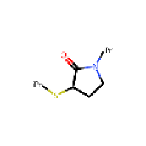 CC(C)SC1CCN(C(C)C)C1=O